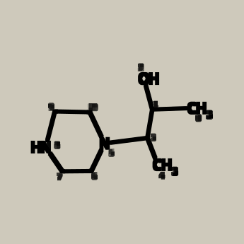 CC(O)C(C)N1CCNCC1